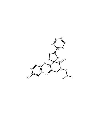 CC(C)CN1CC(=O)N(Cc2ccc(Cl)cc2)C2(CCN(c3ccccn3)C2)C1=O